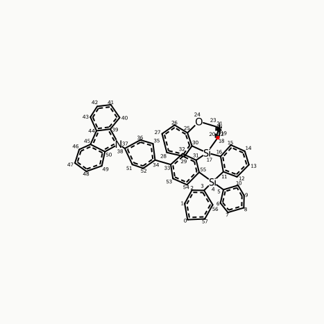 c1ccc([Si]2(c3ccccc3)c3ccccc3[Si]3(c4ccccc4Oc4ccccc43)c3cc(-c4ccc(-n5c6ccccc6c6ccccc65)cc4)ccc32)cc1